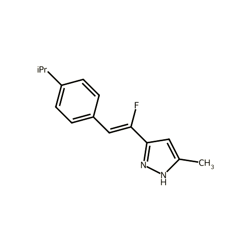 Cc1cc(/C(F)=C/c2ccc(C(C)C)cc2)n[nH]1